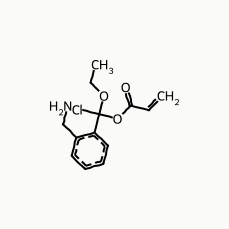 C=CC(=O)OC(Cl)(OCC)c1ccccc1CN